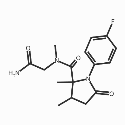 CC1CC(=O)N(c2ccc(F)cc2)C1(C)C(=O)N(C)CC(N)=O